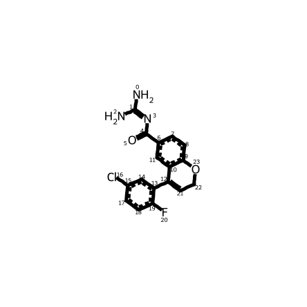 NC(N)=NC(=O)c1ccc2c(c1)C(c1cc(Cl)ccc1F)=CCO2